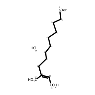 CCCCCCCCCCCCCCCCCCC(=CC(=O)O)C(=O)O.Cl